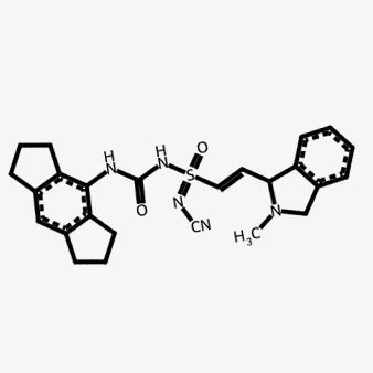 CN1Cc2ccccc2C1/C=C/S(=O)(=NC#N)NC(=O)Nc1c2c(cc3c1CCC3)CCC2